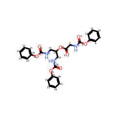 O=C(CNC(=O)Oc1ccccc1)OC(CNC(=O)Oc1ccccc1)CNC(=O)Oc1ccccc1